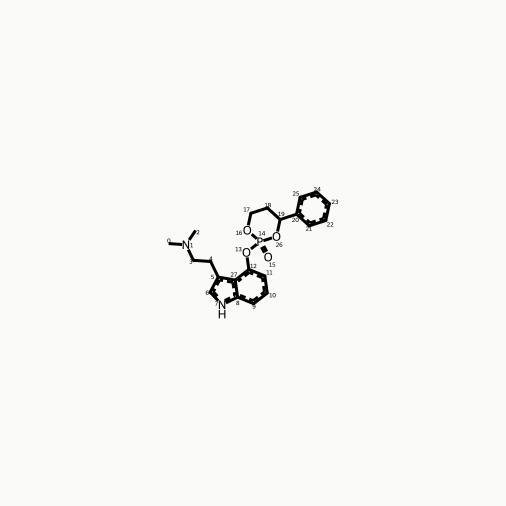 CN(C)CCc1c[nH]c2cccc(OP3(=O)OCCC(c4ccccc4)O3)c12